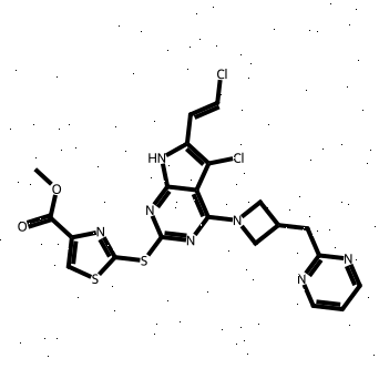 COC(=O)c1csc(Sc2nc(N3CC(Cc4ncccn4)C3)c3c(Cl)c(C=CCl)[nH]c3n2)n1